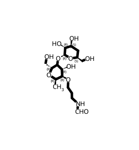 C[C@H]1O[C@H](CO)C(O[C@H]2O[C@H](CO)C[C@H](O)[C@H]2O)[C@H](O)[C@H]1OCCCNC=O